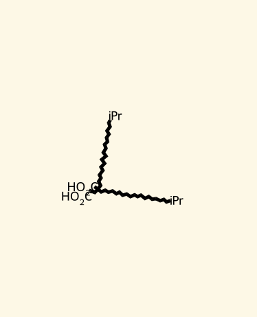 CC(C)CCCCCCCCCCCCCCCCCCCC(CCCCCCCCCCCCCCCCCCCC(C)C)(CCC(=O)O)C(=O)O